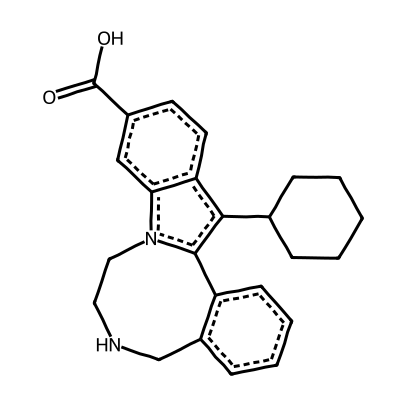 O=C(O)c1ccc2c(C3CCCCC3)c3n(c2c1)CCNCc1ccccc1-3